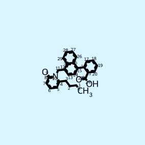 CCCCc1cccc(=O)n1Cc1ccc(-c2ccccc2C(=O)O)c2ccccc12